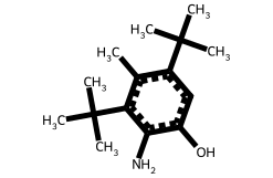 Cc1c(C(C)(C)C)cc(O)c(N)c1C(C)(C)C